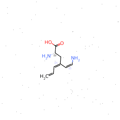 C=C/C=C(\C=C/N)C[C@H](N)C(=O)O